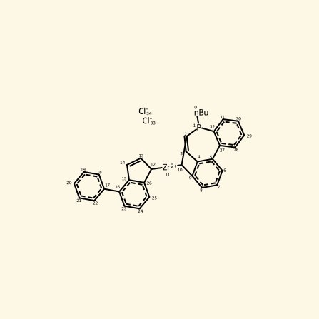 CCCCP1C2=Cc3c(cccc3[CH]2[Zr+2][CH]2C=Cc3c(-c4ccccc4)cccc32)-c2ccccc21.[Cl-].[Cl-]